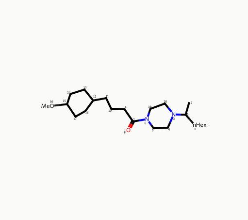 CCCCCCC(C)N1CCN(C(=O)CCCC2CCC(OC)CC2)CC1